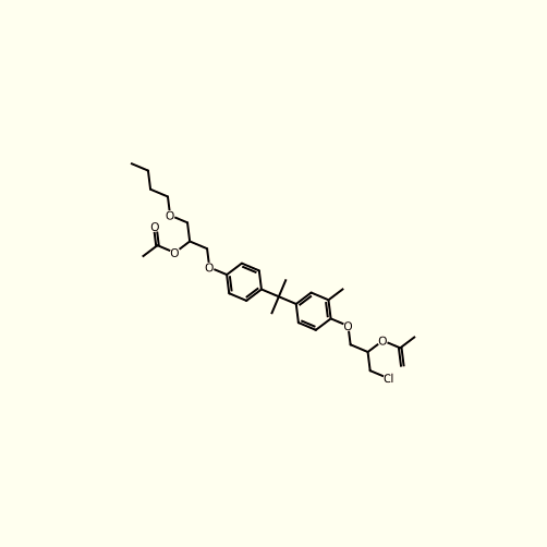 C=C(C)OC(CCl)COc1ccc(C(C)(C)c2ccc(OCC(COCCCC)OC(C)=O)cc2)cc1C